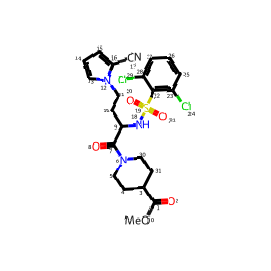 COC(=O)C1CCN(C(=O)C(CCn2cccc2C#N)NS(=O)(=O)c2c(Cl)cccc2Cl)CC1